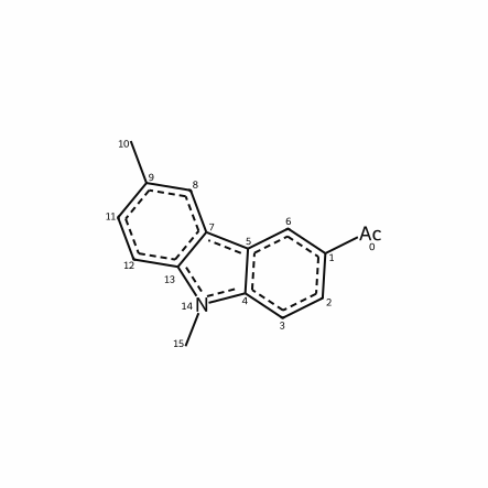 CC(=O)c1ccc2c(c1)c1cc(C)ccc1n2C